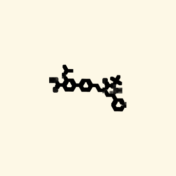 CC(C)Sc1cc(-c2ccc(CCN(C[C@H](O)c3cccnc3)C(=O)OC(C)(C)C)cc2)ccc1C(=O)O